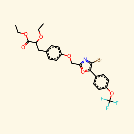 CCOC(=O)C(Cc1ccc(OCc2nc(Br)c(-c3ccc(OC(F)(F)F)cc3)o2)cc1)OCC